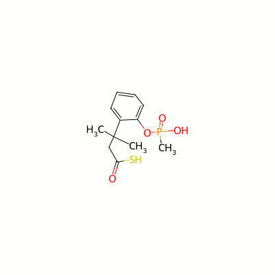 CC(C)(CC(=O)S)c1ccccc1OP(C)(=O)O